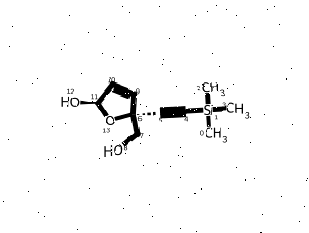 C[Si](C)(C)C#C[C@@]1(CO)C=C[C@H](O)O1